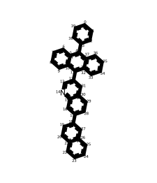 c1ccc(-c2c3ccccc3c(-c3cnc4cc(-c5ccc6ccccc6c5)ccc4c3)c3ccccc23)cc1